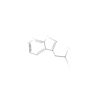 NC(N)Cc1c[nH]c2ncccc12